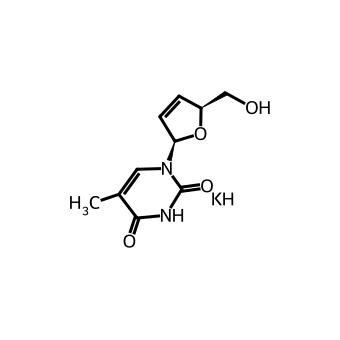 Cc1cn([C@H]2C=C[C@@H](CO)O2)c(=O)[nH]c1=O.[KH]